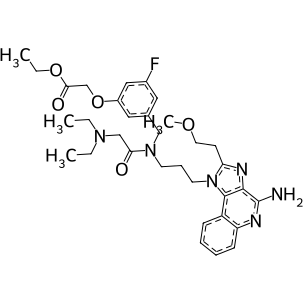 CCOC(=O)COc1cc(F)cc(CN(CCCn2c(CCOC)nc3c(N)nc4ccccc4c32)C(=O)CN(CC)CC)c1